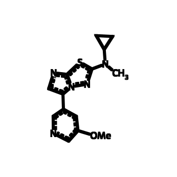 COc1cncc(-c2cnc3sc(N(C)C4CC4)nn23)c1